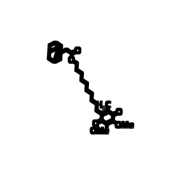 COC1=C(OC)C(=O)C(CCCCCCCCCCOC(=O)CC23CC4CC(CC(C4)C2)C3)=C(C)C1=O